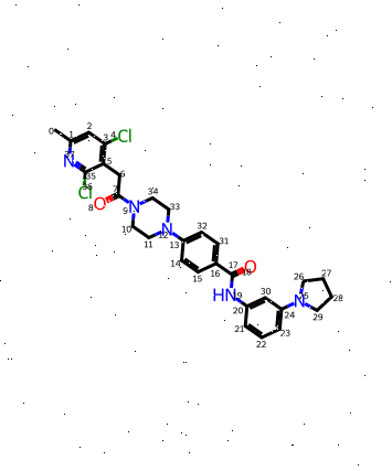 Cc1cc(Cl)c(CC(=O)N2CCN(c3ccc(C(=O)Nc4cccc(N5CCCC5)c4)cc3)CC2)c(Cl)n1